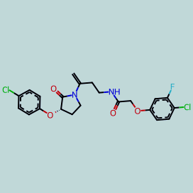 C=C(CCNC(=O)COc1ccc(Cl)c(F)c1)N1CC[C@H](Oc2ccc(Cl)cc2)C1=O